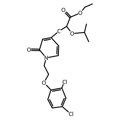 CCOC(=O)C(Cc1ccn(CCOc2ccc(Cl)cc2Cl)c(=O)c1)OC(C)C